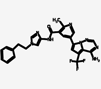 Cc1ncc(-c2cc(C(F)(F)F)c3c(N)ncnn23)cc1C(=O)Nc1cn(CCc2ccccc2)cn1